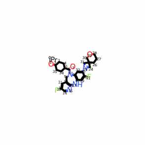 CC(C)OC1CCC(C(=O)N2Cc3cc(F)cnc3Nc3cc(F)c(N4CC5(CCCOC5)C4)cc32)CC1